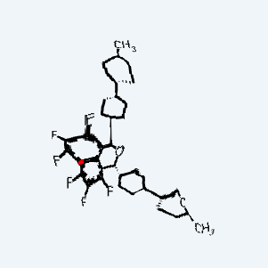 C[C@H]1CC[C@H]([C@H]2CC[C@H](C(OC(c3ccc(F)c(F)c3F)[C@H]3CC[C@H]([C@H]4CC[C@H](C)CC4)CC3)c3ccc(F)c(F)c3F)CC2)CC1